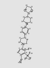 N#Cc1ccc(N2CCC(c3ccc(N4CCC(C5OCCO5)CC4)cc3)CC2)c(F)c1C(F)(F)F